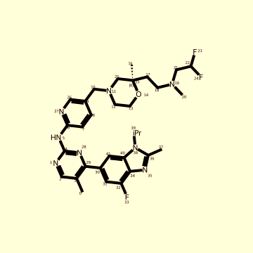 Cc1cnc(Nc2ccc(CN3CCO[C@](C)(CCN(C)CC(F)F)C3)cn2)nc1-c1cc(F)c2nc(C)n(C(C)C)c2c1